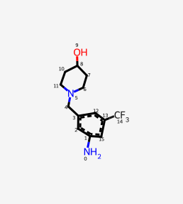 Nc1cc(CN2CCC(O)CC2)cc(C(F)(F)F)c1